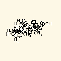 CC[C@H](C)[C@@H]([C@@H](CC(=O)N1CCC[C@H]1[C@H](OC)[C@@H](C)C(=O)N[C@@H](Cc1ccccc1)C(=O)N1CC(O)CO1)OC)N(C)C(=O)[C@@H](NC(=O)[C@@H](NC)C(C)C)C(C)C